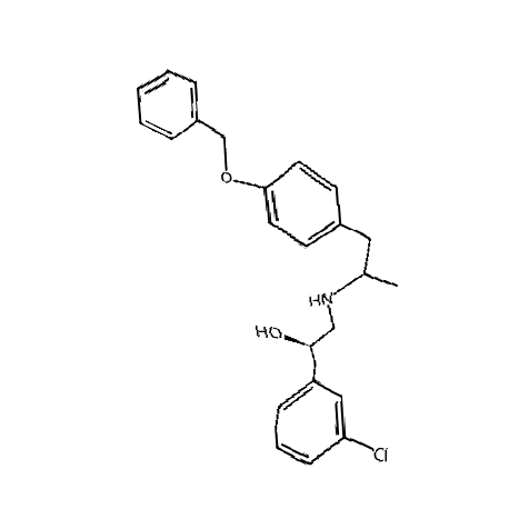 CC(Cc1ccc(OCc2ccccc2)cc1)NC[C@H](O)c1cccc(Cl)c1